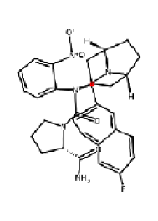 NC(=O)[C@@H]1CCCN1C(=O)N(c1ccccc1[N+](=O)[O-])[C@@H]1C[C@H]2CC[C@@H](C1)N2Cc1ccc2cc(F)ccc2c1